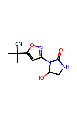 CC(C)(C#N)c1cc(N2C(=O)NCC2O)no1